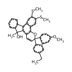 CCc1ccc(C2(c3ccc(OC)cc3)C=Cc3c4c(c5cc(SC)c(SC)cc5c3O2)-c2ccccc2C4(C)O)cc1